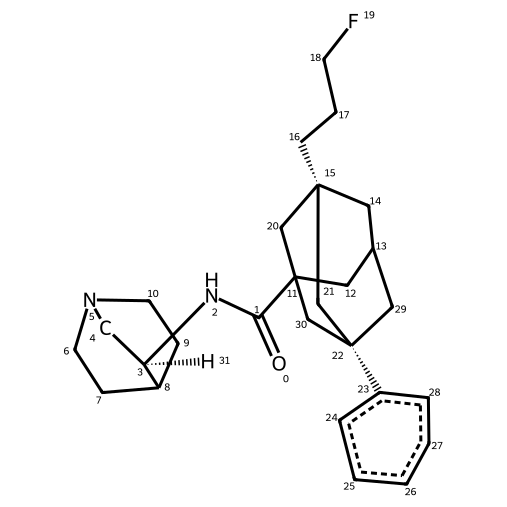 O=C(N[C@@H]1CN2CCC1CC2)C12CC3C[C@](CCCF)(C1)C[C@@](c1ccccc1)(C3)C2